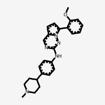 COc1ccccc1-c1ccc2cnc(Nc3ccc(C4CCN(C)CC4)cc3)nn12